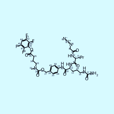 CC(C)[C@H](NC(=O)CN=[N+]=[N-])C(=O)N[C@@H](CCCNC(N)=O)C(=O)Nc1ccc(COC(=O)N(C)CCCC(=O)Oc2c(F)c(F)cc(F)c2F)cc1